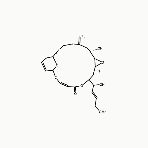 C=C1CCC[C@@H]2CC=CC(C/C=C\C(=O)OC(C(O)/C=C/COC)C[C@@H]3OC3[C@@H](O)C1)O2